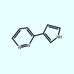 [c]1[nH]ccc1-c1cccnn1